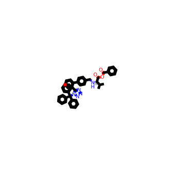 CC(C)[C@H](NCc1ccc(-c2ccccc2-c2nnnn2C(c2ccccc2)(c2ccccc2)c2ccccc2)cc1)C(=O)OC(=O)c1ccccc1